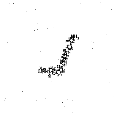 N#Cc1c(NSN2CCCC2)ccc(F)c1Oc1ccc2ncn(-c3cnc(N4CCN(C(=O)CN5CCC(c6ccc(N)cc6F)CC5)CC4)nc3)c(=O)c2c1